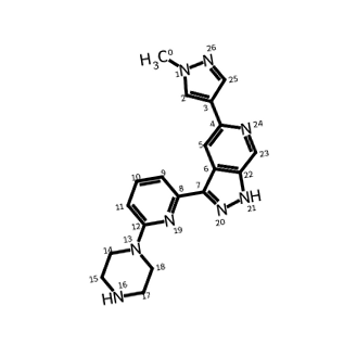 Cn1cc(-c2cc3c(-c4cccc(N5CCNCC5)n4)n[nH]c3cn2)cn1